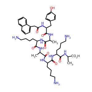 CC(NC(=O)C(CCCCN)NC(=O)C(CCCCN)NC(=O)C(C)NC(=O)C(CCCCN)NC(=O)C(C)NC(=O)C(Cc1ccc(O)cc1)NC(=O)Cc1cccc2ccccc12)C(=O)O